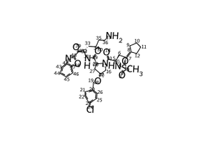 CS(=O)(=O)N[C@H](CC=C1CCCC1)C(=O)N1C[C@H](OCc2ccc(Cl)cc2)C[C@H]1C(=O)N[C@@H](CCCCN)C(=O)c1nc2ccccc2o1